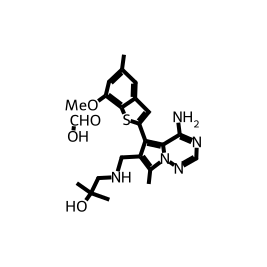 COc1cc(C)cc2cc(-c3c(CNCC(C)(C)O)c(C)n4ncnc(N)c34)sc12.O=CO